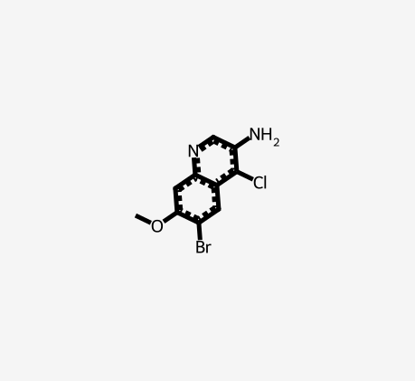 COc1cc2ncc(N)c(Cl)c2cc1Br